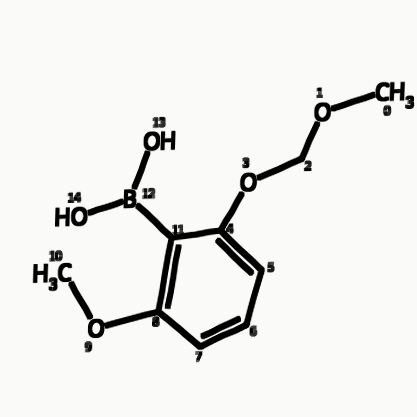 COCOc1cccc(OC)c1B(O)O